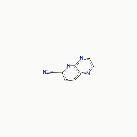 N#Cc1ccc2nccnc2n1